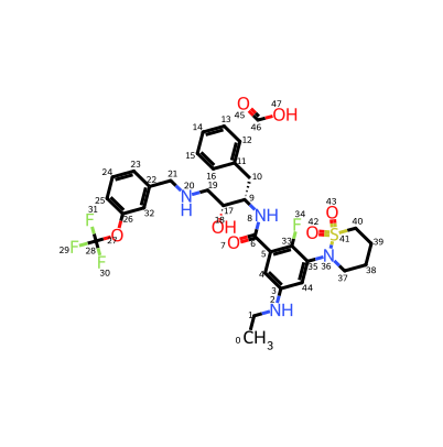 CCNc1cc(C(=O)N[C@@H](Cc2ccccc2)[C@H](O)CNCc2cccc(OC(F)(F)F)c2)c(F)c(N2CCCCS2(=O)=O)c1.O=CO